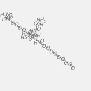 COCCOCCOCCOCCOCCOCCOCCOCCOCCC(=O)NCCCC[C@H](NC(=O)CNC(=O)CNC(=O)CN)C(=O)N[C@@H](CS)C(=O)NCCOCCOCCOCCOCCC(=O)N[C@@H](C)C(N)=O